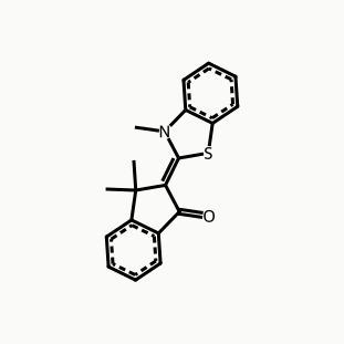 CN1/C(=C2/C(=O)c3ccccc3C2(C)C)Sc2ccccc21